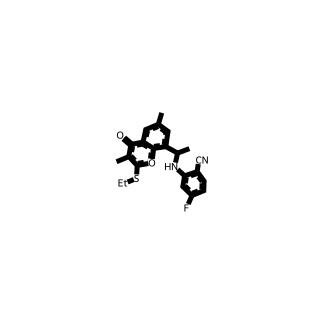 CCSc1oc2c(C(C)Nc3cc(F)ccc3C#N)cc(C)cc2c(=O)c1C